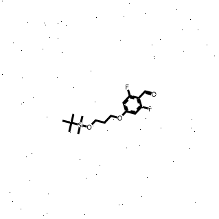 CC(C)(C)[Si](C)(C)OCCCOc1cc(F)c(C=O)c(F)c1